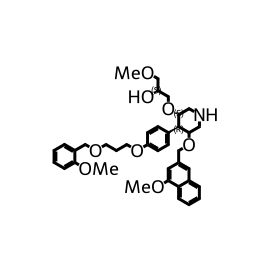 COC[C@H](O)CO[C@@H]1CNCC(OCc2cc(OC)c3ccccc3c2)[C@H]1c1ccc(OCCCOCc2ccccc2OC)cc1